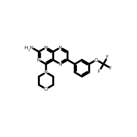 Nc1nc(N2CCOCC2)c2nc(-c3cccc(OC(F)(F)F)c3)cnc2n1